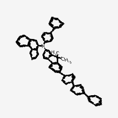 CC1(C)c2cc(-c3ccc(-c4ccc(-c5ccccc5)cc4)cc3)ccc2-c2ccc(N(c3ccc(-c4ccccc4)cc3)c3cc4ccccc4c4ccccc34)cc21